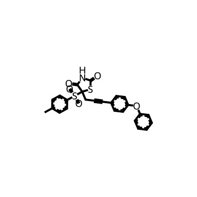 Cc1ccc(S(=O)(=O)C2(CC#Cc3ccc(Oc4ccccc4)cc3)SC(=O)NC2=O)cc1